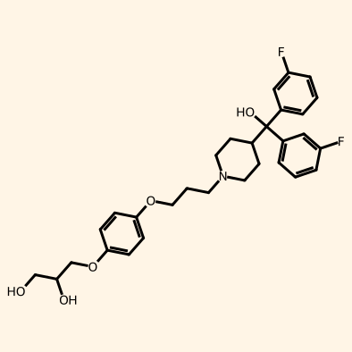 OCC(O)COc1ccc(OCCCN2CCC(C(O)(c3cccc(F)c3)c3cccc(F)c3)CC2)cc1